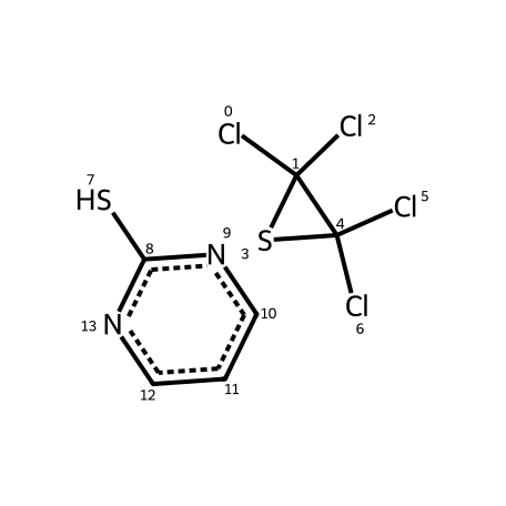 ClC1(Cl)SC1(Cl)Cl.Sc1ncccn1